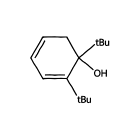 CC(C)(C)C1=CC=CCC1(O)C(C)(C)C